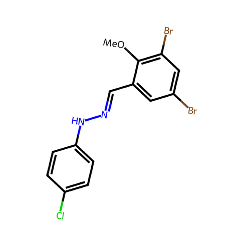 COc1c(Br)cc(Br)cc1/C=N/Nc1ccc(Cl)cc1